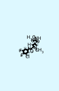 CNS(=O)(=O)c1cc(C(=O)Nc2cc(F)c(F)c(Cl)c2)n(C)c1